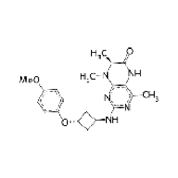 COc1ccc(O[C@H]2C[C@H](Nc3nc(C)c4c(n3)N(C)[C@@H](C)C(=O)N4)C2)cc1